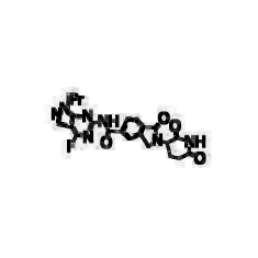 CC(C)n1ncc2c(F)nc(NC(=O)c3ccc4c(c3)CN(C3CCC(=O)NC3=O)C4=O)nc21